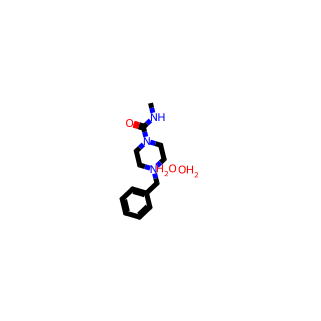 CNC(=O)N1CCN(Cc2ccccc2)CC1.O.O